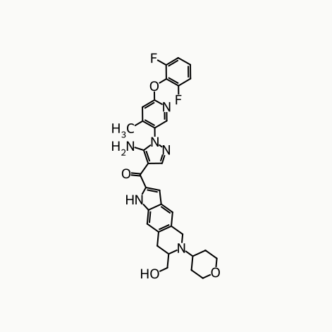 Cc1cc(Oc2c(F)cccc2F)ncc1-n1ncc(C(=O)c2cc3cc4c(cc3[nH]2)CC(CO)N(C2CCOCC2)C4)c1N